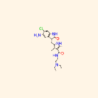 CCN(CC)CCNC(=O)c1c(C)[nH]c(/C=C2\C(=O)Nc3cc(Cl)c(N)cc32)c1C